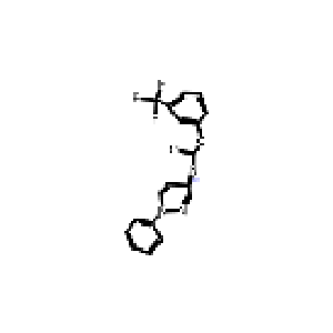 O=C(/N=c1\ccn(-c2ccccc2)nc1)Oc1cccc(C(F)(F)F)c1